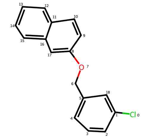 Clc1cccc(COc2ccc3ccccc3c2)c1